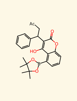 CC(=O)CC(c1ccccc1)c1c(O)c2c(B3OC(C)(C)C(C)(C)O3)cccc2oc1=O